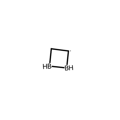 B1BC[CH]1